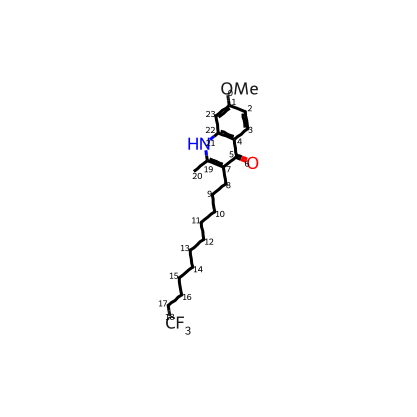 COc1ccc2c(=O)c(CCCCCCCCCCC(F)(F)F)c(C)[nH]c2c1